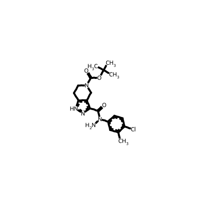 Cc1cc(N(N)C(=O)c2n[nH]c3c2CN(C(=O)OC(C)(C)C)CC3)ccc1Cl